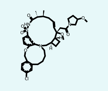 COC1CCN(C(=O)C[C@]2(OC)/C=C/C[C@H](C)[C@@H](C)C(=O)NS(=O)(=O)c3ccc4c(c3)N(CCCCc3cc(Cl)ccc3CO4)C[C@@H]3CC[C@H]32)C1